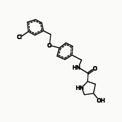 O=C(NCc1ccc(OCc2cccc(Cl)c2)cc1)C1CC(O)CN1